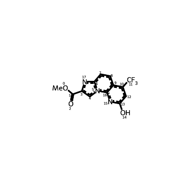 COC(=O)c1cn2c(ccc3c(C(F)(F)F)cc(O)nc32)n1